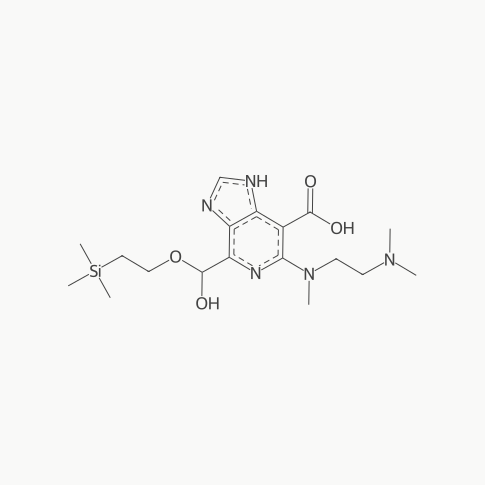 CN(C)CCN(C)c1nc(C(O)OCC[Si](C)(C)C)c2nc[nH]c2c1C(=O)O